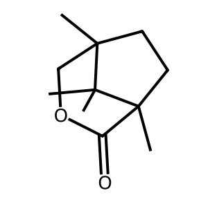 CC12CCC(C)(C(=O)OC1)C2(C)C